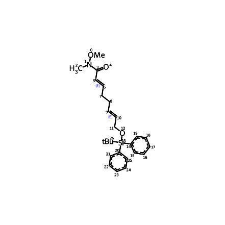 CON(C)C(=O)/C=C/CC/C=C/CO[Si](c1ccccc1)(c1ccccc1)C(C)(C)C